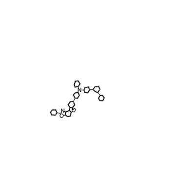 c1ccc(-c2cccc(-c3ccc(N(c4ccccc4)c4ccc(-c5ccc6c(c5)oc5ccc7oc(-c8ccccc8)nc7c56)cc4)cc3)c2)cc1